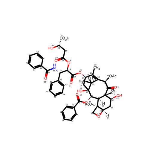 CC(=O)O[C@H]1C(=O)[C@@]2(C)[C@H]([C@H](OC(=O)c3ccccc3)[C@]3(O)C[C@H](OC(=O)[C@H](OC(=O)C[C@H](O)C(=O)O)[C@@H](NC(=O)c4ccccc4)c4ccccc4)C(C)=C1C3(C)C)[C@]1(OC(C)=O)CO[C@@H]1C[C@@H]2O